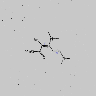 COC(=O)/C(C(C)=O)=C(\C=C\N(C)C)N(C)C